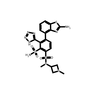 CN1CC(N(C)S(=O)(=O)c2ccc(-c3cccc4sc(N)nc34)c(-c3nnn[nH]3)c2S(N)(=O)=O)C1